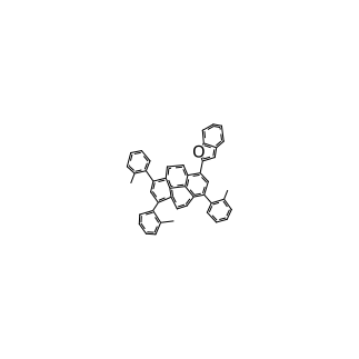 Cc1ccccc1-c1cc(-c2cc3ccccc3o2)c2ccc3c(-c4ccccc4C)cc(-c4ccccc4C)c4ccc1c2c34